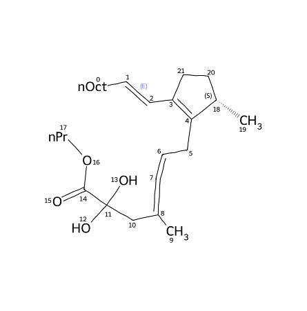 CCCCCCCC/C=C/C1=C(CC=C=C(C)CC(O)(O)C(=O)OCCC)[C@@H](C)CC1